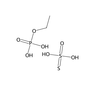 CCOP(=O)(O)O.O=S(O)(O)=S